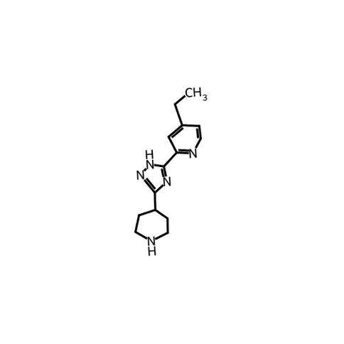 CCc1ccnc(-c2nc(C3CCNCC3)n[nH]2)c1